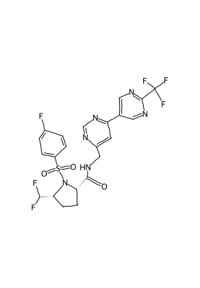 O=C(NCc1cc(-c2cnc(C(F)(F)F)nc2)ncn1)[C@@H]1CC[C@H](C(F)F)N1S(=O)(=O)c1ccc(F)cc1